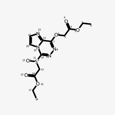 CCOC(=O)COc1nnc([S+]([O-])CC(=O)OCC)n2ccnc12